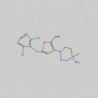 CC1(N)CCN(c2cc(Sc3c(Cl)cccc3Cl)oc2C=O)CC1